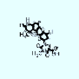 CNC(=O)N(/N=C(\C=O)C(=O)O)c1cc(Cl)c(Oc2ccc3c(c2)C(C)(C)CC(=O)N3)c(Cl)c1